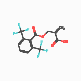 C=C(COC(=O)c1c(C(F)(F)F)cccc1C(F)(F)F)C(=O)O